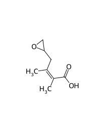 C/C(CC1CO1)=C(\C)C(=O)O